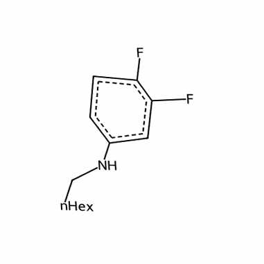 CCCCCCCNc1ccc(F)c(F)c1